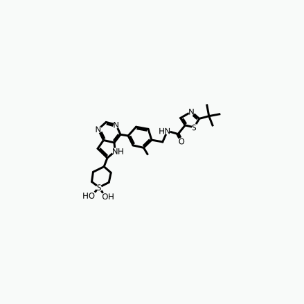 Cc1cc(-c2ncnc3cc(C4CCS(O)(O)CC4)[nH]c23)ccc1CNC(=O)c1cnc(C(C)(C)C)s1